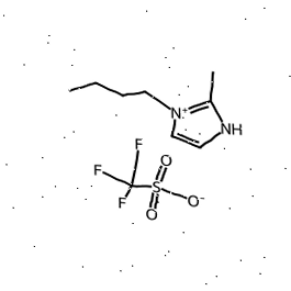 CCCC[n+]1cc[nH]c1C.O=S(=O)([O-])C(F)(F)F